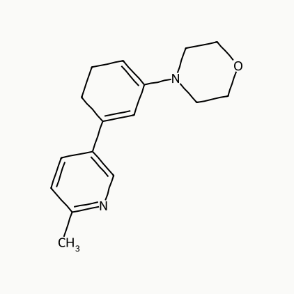 Cc1ccc(C2=CC(N3CCOCC3)=CCC2)cn1